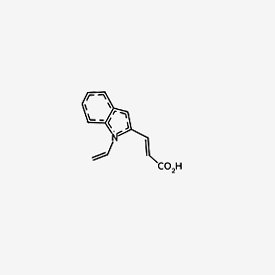 C=Cn1c(C=CC(=O)O)cc2ccccc21